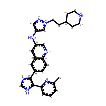 Cc1cccc(-c2[nH]cnc2-c2ccc3ncc(Nc4cnn(CCC5CCNCC5)c4)cc3c2)n1